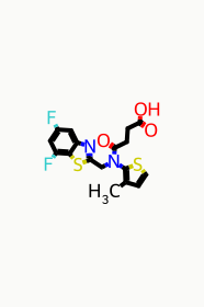 Cc1ccsc1N(Cc1nc2cc(F)cc(F)c2s1)C(=O)CCC(=O)O